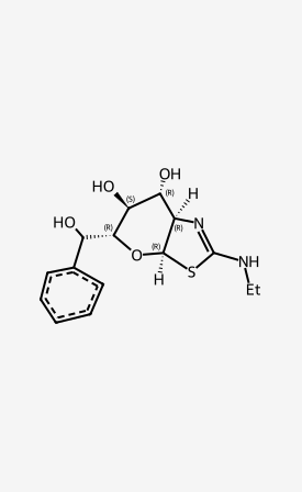 CCNC1=N[C@@H]2[C@@H](O)[C@H](O)[C@@H](C(O)c3ccccc3)O[C@@H]2S1